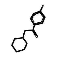 O=C(CC1CCCCC1)c1ccc(F)cc1